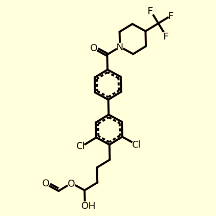 O=COC(O)CCCc1c(Cl)cc(-c2ccc(C(=O)N3CCC(C(F)(F)F)CC3)cc2)cc1Cl